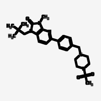 Cn1c(=O)n(CC(C)(C)C)c2ccc(-c3ccc(CN4CCN(S(C)(=O)=O)CC4)cc3)nc21